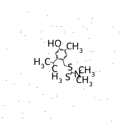 Cc1cc(CSC(=S)N(C)C)c(C(C)C)cc1O